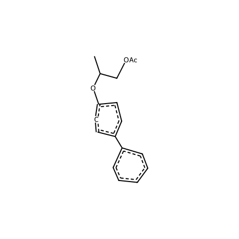 CC(=O)OCC(C)Oc1ccc(-c2ccccc2)cc1